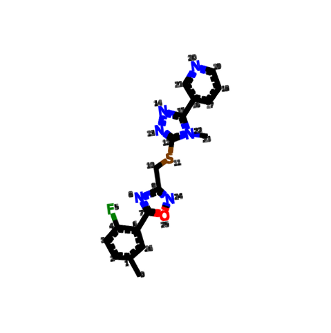 Cc1ccc(F)c(-c2nc(CSc3nnc(-c4cccnc4)n3C)no2)c1